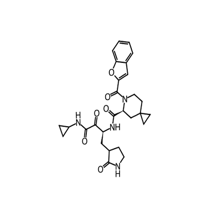 O=C(NC1CC1)C(=O)[C@H](CC1CCNC1=O)NC(=O)[C@@H]1CC2(CCN1C(=O)c1cc3ccccc3o1)CC2